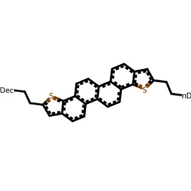 CCCCCCCCCCCCc1cc2ccc3c4ccc5c(ccc6cc(CCCCCCCCCCCC)sc65)c4ccc3c2s1